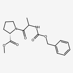 COC(=O)[C@@H]1CCCN1C(=O)C(C)NC(=O)OCc1ccccc1